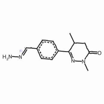 CC1CC(=O)N(C)N=C1c1ccc(/[C]=N/N)cc1